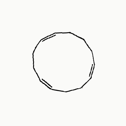 [CH]1C=CCCCC=CCCC=CC1